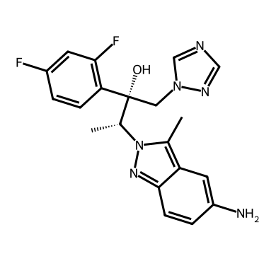 Cc1c2cc(N)ccc2nn1[C@H](C)[C@](O)(Cn1cncn1)c1ccc(F)cc1F